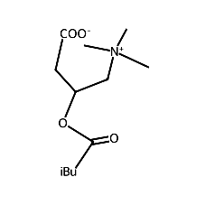 CCC(C)C(=O)OC(CC(=O)[O-])C[N+](C)(C)C